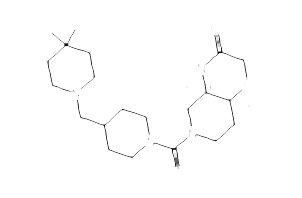 O=C1CO[C@H]2CCN(C(=O)N3CCC(CN4CCC(F)(F)CC4)CC3)C[C@H]2N1